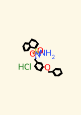 Cl.NOS(=O)(=NCc1cccc(OCc2ccccc2)c1)c1cccc2ccccc12